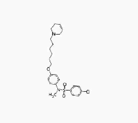 CN(c1ccc(OCCCCCCN2CC=CCC2)cc1)S(=O)(=O)c1ccc(Cl)cc1